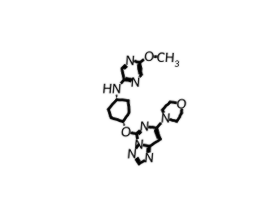 COc1cnc(N[C@H]2CC[C@@H](Oc3nc(N4CCOCC4)cc4ncnn34)CC2)cn1